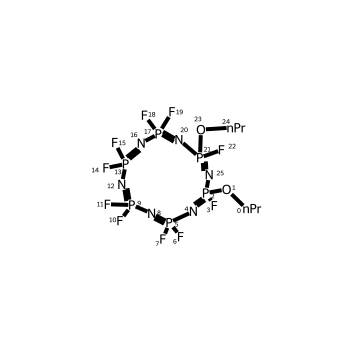 CCCOP1(F)=NP(F)(F)=NP(F)(F)=NP(F)(F)=NP(F)(F)=NP(F)(OCCC)=N1